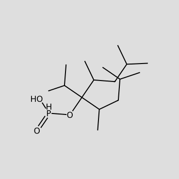 CC(C)CC(C)C(O[PH](=O)O)(C(C)C)C(C)CC(C)C